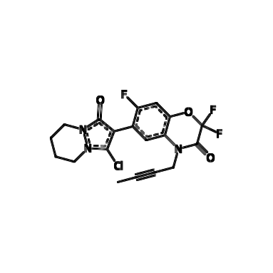 CC#CCN1C(=O)C(F)(F)Oc2cc(F)c(-c3c(Cl)n4n(c3=O)CCCC4)cc21